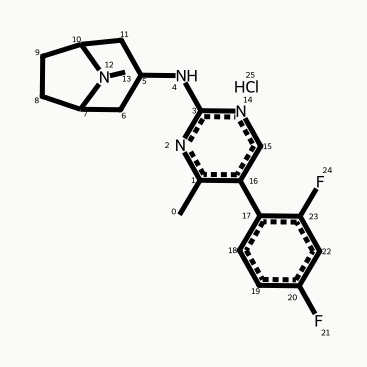 Cc1nc(NC2CC3CCC(C2)N3C)ncc1-c1ccc(F)cc1F.Cl